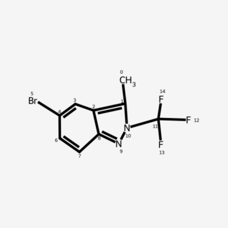 Cc1c2cc(Br)ccc2nn1C(F)(F)F